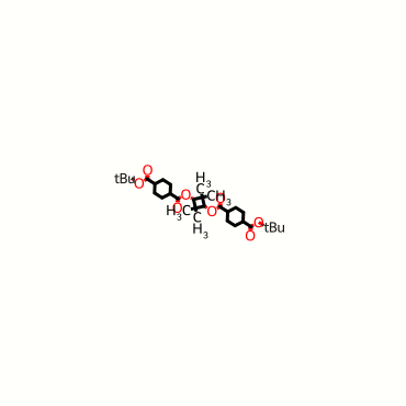 CC(C)(C)OC(=O)C1CCC(C(=O)OC2C(C)(C)C(OC(=O)C3CCC(C(=O)OC(C)(C)C)CC3)C2(C)C)CC1